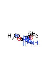 C=C(c1cc2cnc(Nc3ccc(OC4CCCN(C)C4)cc3)nc2n(Cc2nccn2C2CCNC2)c1=O)C(C)C